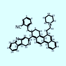 N#Cc1ccccc1CC1CCc2c3c(ccc2=C1C1=NCC2=c4c[c]ccc4=NC2=C1)=c1ccccc1=CC3CCN1CCCCC1